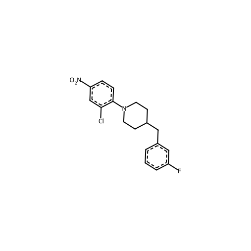 O=[N+]([O-])c1ccc(N2CCC(Cc3cccc(F)c3)CC2)c(Cl)c1